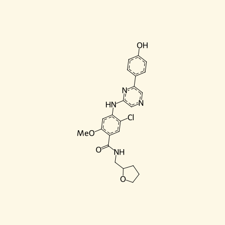 COc1cc(Nc2cncc(-c3ccc(O)cc3)n2)c(Cl)cc1C(=O)NCC1CCCO1